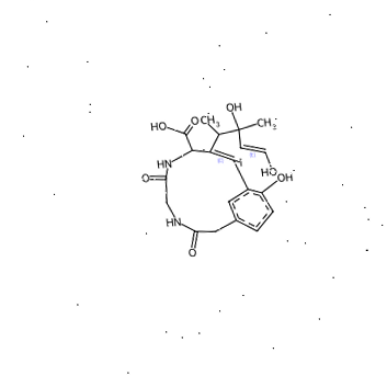 CC(/C1=C(\I)c2cc(ccc2O)CC(=O)NCC(=O)NC1C(=O)O)C(C)(O)/C=C/O